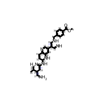 COC(=O)c1ccc(CN/C=C(\C=N)c2cnc3c(c2)NC(N/C(N)=C/C(=C\N)C(C)C)C=C3)cc1